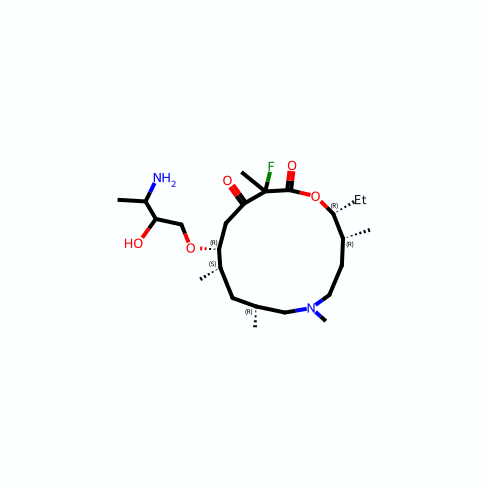 CC[C@H]1OC(=O)C(C)(F)C(=O)C[C@@H](OCC(O)C(C)N)[C@@H](C)C[C@@H](C)CN(C)CC[C@H]1C